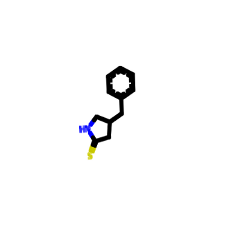 S=C1CC(Cc2ccccc2)CN1